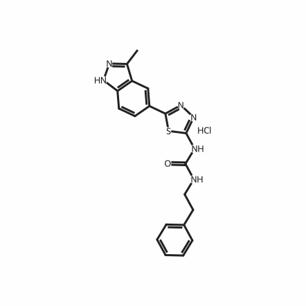 Cc1n[nH]c2ccc(-c3nnc(NC(=O)NCCc4ccccc4)s3)cc12.Cl